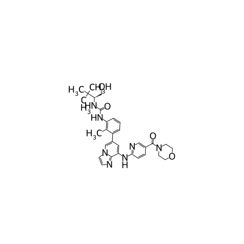 Cc1c(NC(=O)N[C@H](CO)C(C)(C)C)cccc1-c1cc(Nc2ccc(C(=O)N3CCOCC3)cn2)c2nccn2c1